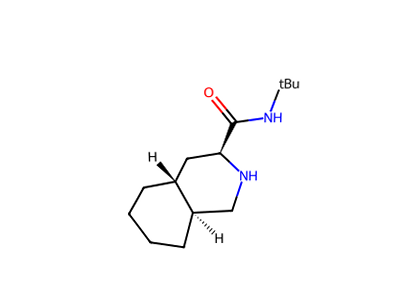 CC(C)(C)NC(=O)[C@@H]1C[C@H]2CCCC[C@@H]2CN1